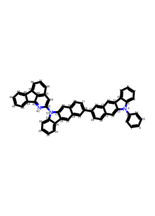 c1ccc(-n2c3ccccc3c3cc4cc(-c5ccc6cc7c(cc6c5)c5ccccc5n7-c5cc6cccc7c6c(n5)-c5ccccc5-7)ccc4cc32)cc1